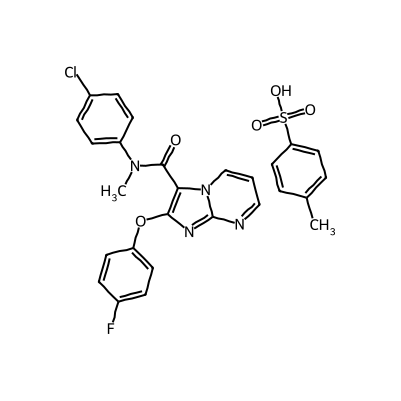 CN(C(=O)c1c(Oc2ccc(F)cc2)nc2ncccn12)c1ccc(Cl)cc1.Cc1ccc(S(=O)(=O)O)cc1